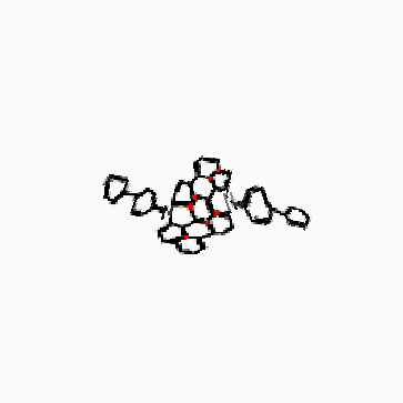 c1ccc(-c2ccc(N(c3ccc(-c4ccccc4)cc3)c3ccccc3-c3ccc(-c4ccccc4N(c4ccc(-c5ccccc5)cc4)c4ccc(-c5ccccc5)cc4)cc3)cc2)cc1